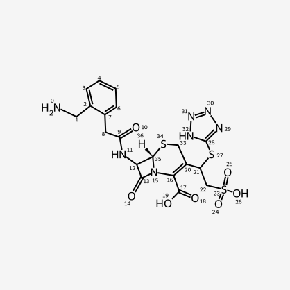 NCc1ccccc1CC(=O)NC1C(=O)N2C(C(=O)O)=C(C(CS(=O)(=O)O)Sc3nnn[nH]3)CS[C@@H]12